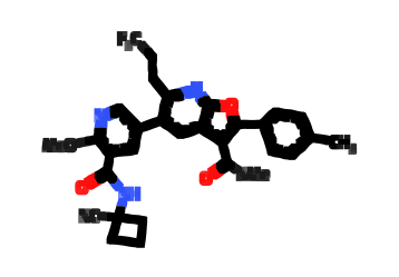 CNC(=O)c1c(-c2ccc(C)cc2)oc2nc(CCC(F)(F)F)c(-c3cnc(OC)c(C(=O)NC4(C#N)CCC4)c3)cc12